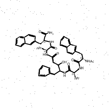 CCC[C@H](NC(=O)CC(O)C(Cc1ccccc1)NC(=O)[C@H](CCC)NC(=O)[C@H](Cc1ccc2ccccc2c1)NC(C)=O)C(=O)N[C@@H](Cc1ccc2ccccc2c1)C(N)=O